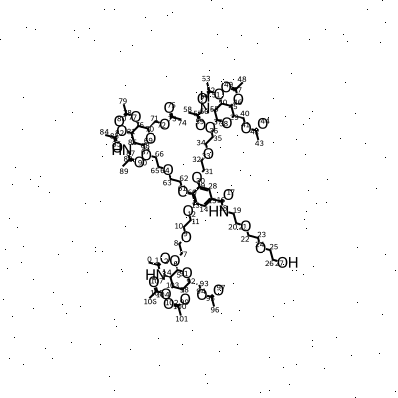 CC(=O)N[C@H]1[C@H](OCCOCCOc2cc(C(=O)NCCOCCOCCO)cc(OCCOCCO[C@@H]3O[C@H](COC(C)=O)[C@H](OC(C)=O)[C@H](OC(C)=O)[C@H]3NC(C)=O)c2OCCOCCO[C@@H]2O[C@H](COC(C)=O)[C@H](OC(C)=O)[C@H](OC(C)=O)[C@H]2NC(C)=O)O[C@H](COC(C)=O)[C@H](OC(C)=O)[C@@H]1OC(C)=O